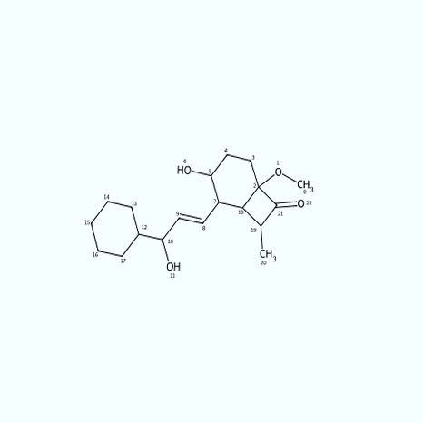 COC12CCC(O)C(C=CC(O)C3CCCCC3)C1C(C)C2=O